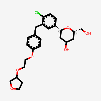 OC[C@@H]1CC(O)C[C@H](c2ccc(Cl)c(Cc3ccc(OCCOC4CCOC4)cc3)c2)O1